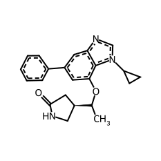 CC(Oc1cc(-c2ccccc2)cc2ncn(C3CC3)c12)[C@H]1CNC(=O)C1